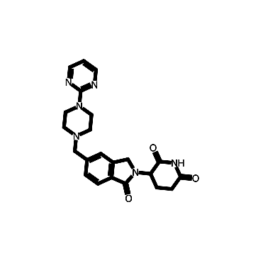 O=C1CCC(N2Cc3cc(CN4CCN(c5ncccn5)CC4)ccc3C2=O)C(=O)N1